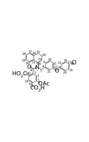 CC(=O)Oc1cc(C(=O)N(Cc2cccc(Oc3ccc(Cl)cc3)c2)[C@H]2CCCc3ccccc32)c(C(=O)O)cc1C(=O)O